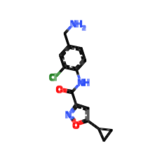 NCc1ccc(NC(=O)c2cc(C3CC3)on2)c(Cl)c1